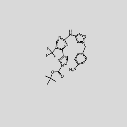 CC(C)(C)OC(=O)n1ccc(-c2nc(Nc3cnn(Cc4ccc(N)cc4)c3)ncc2C(F)(F)F)n1